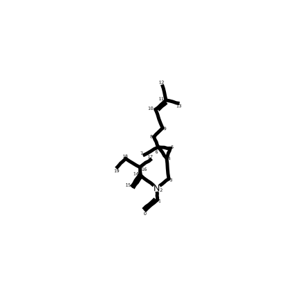 C=CN(CC1CC1(C)CCC=C(C)C)C(=C)C(C)CC